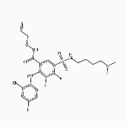 C=CCONC(=O)c1cc(S(=O)(=O)NCCCCN(C)C)c(F)c(F)c1Nc1ccc(I)cc1Cl